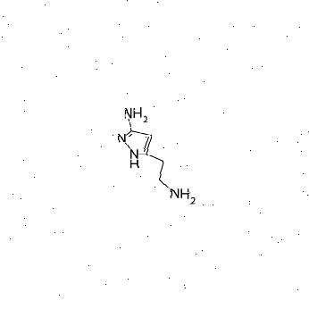 NCCc1cc(N)n[nH]1